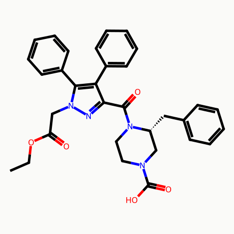 CCOC(=O)Cn1nc(C(=O)N2CCN(C(=O)O)C[C@H]2Cc2ccccc2)c(-c2ccccc2)c1-c1ccccc1